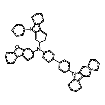 C1=c2c(n(-c3ccccc3)c3ccccc23)=CC(N(c2ccc(-c3ccc(-n4c5ccccc5c5cc6ccccc6cc54)cc3)cc2)c2ccc3c(c2)oc2ccccc23)C1